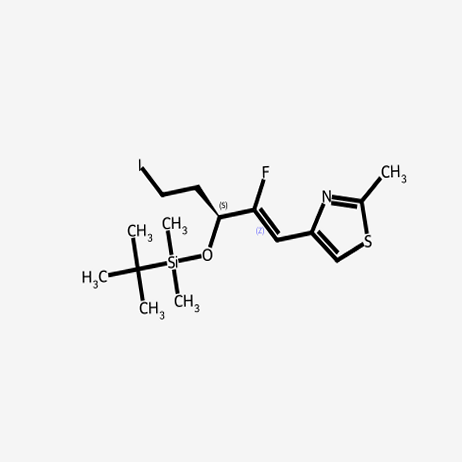 Cc1nc(/C=C(\F)[C@H](CCI)O[Si](C)(C)C(C)(C)C)cs1